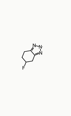 FC1CCC2=N[N]N=C2C1